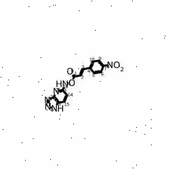 O=C(C=Cc1ccc([N+](=O)[O-])cc1)ONc1ccc2[nH]nnc2n1